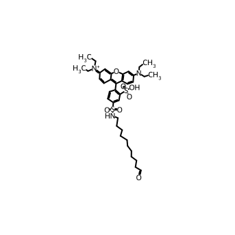 CCN(CC)c1ccc2c(-c3ccc(S(=O)(=O)NCCCCCCCCCCC=O)cc3S(=O)(=O)O)c3ccc(=[N+](CC)CC)cc-3oc2c1